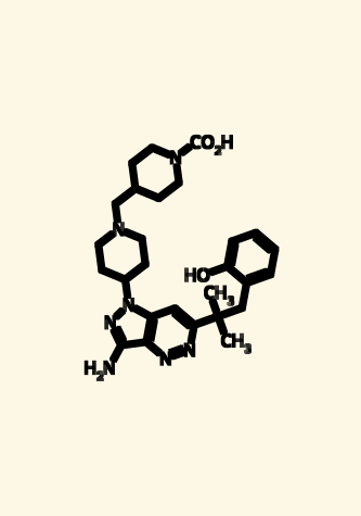 CC(C)(Cc1ccccc1O)c1cc2c(nn1)c(N)nn2C1CCN(CC2CCN(C(=O)O)CC2)CC1